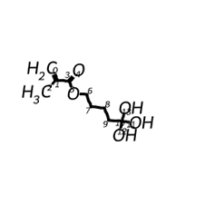 C=C(C)C(=O)OCCCCC(O)(O)O